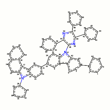 c1ccc(-c2ccc3c4cc(-c5ccc6c(c5)c5c7ccccc7ccc5n6-c5ccccc5)ccc4n(-c4nc(-c5ccccc5)c(-c5ccccc5)nc4-c4ccccc4)c3c2)cc1